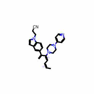 C=C(/C(=C\C=C/C)N1CCN(c2ccncc2)CC1)c1ccc2c(ccn2CCC#N)c1